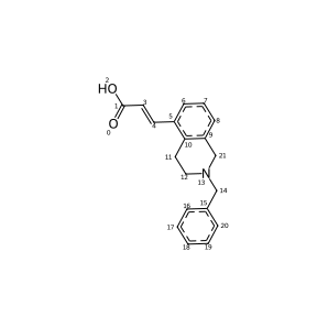 O=C(O)/C=C/c1cccc2c1CCN(Cc1ccccc1)C2